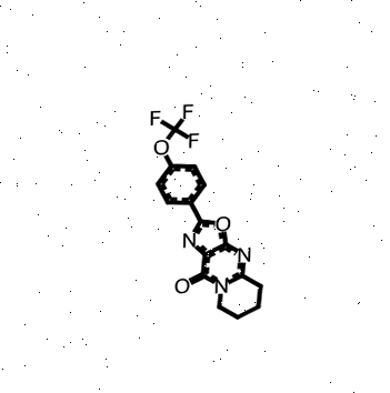 O=c1c2nc(-c3ccc(OC(F)(F)F)cc3)oc2nc2n1CCCC2